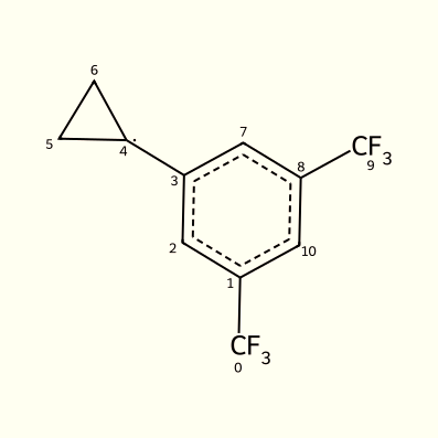 FC(F)(F)c1cc([C]2CC2)cc(C(F)(F)F)c1